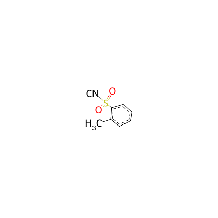 [C-]#[N+]S(=O)(=O)c1ccccc1C